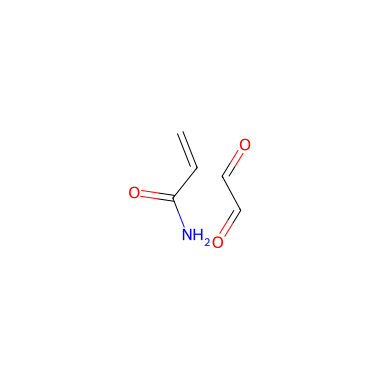 C=CC(N)=O.O=CC=O